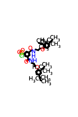 CCC(C)(C)c1ccc(OCCCNC(=O)c2cc(C(=O)NCCCOc3ccc(C(C)(C)CC)cc3C(C)(C)CC)cc(S(=O)(=O)Cl)c2)c(C(C)(C)CC)c1